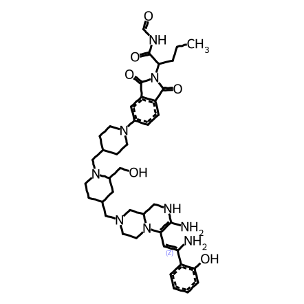 CCCC(C(=O)NC=O)N1C(=O)c2ccc(N3CCC(CN4CCC(CN5CCN6C(/C=C(\N)c7ccccc7O)=C(N)NCC6C5)CC4CO)CC3)cc2C1=O